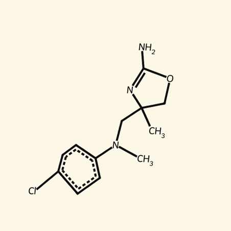 CN(CC1(C)COC(N)=N1)c1ccc(Cl)cc1